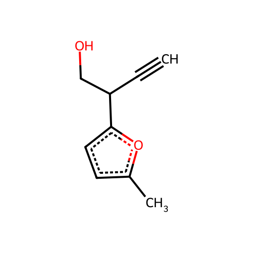 C#CC(CO)c1ccc(C)o1